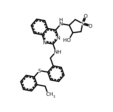 CCc1ccccc1Sc1ccccc1CNc1nc(NC2CS(=O)(=O)CC2O)c2ccccc2n1